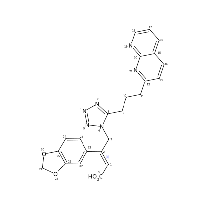 O=C(O)/C=C(/Cn1nnnc1CCCc1ccc2cccnc2n1)c1ccc2c(c1)OCO2